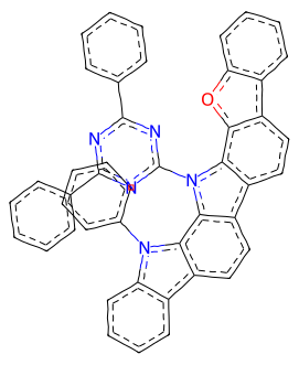 c1ccc(-c2nc(-c3ccccc3)nc(-n3c4c(ccc5c6ccccc6oc54)c4ccc5c6ccccc6n(-c6ccccc6)c5c43)n2)cc1